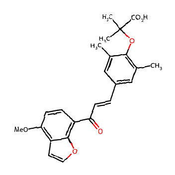 COc1ccc(C(=O)/C=C/c2cc(C)c(OC(C)(C)C(=O)O)c(C)c2)c2occc12